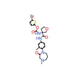 Cc1cc(NC(=O)C2(NC(=O)Oc3ccc(Br)s3)CCOC2)ccc1N1CCCN(C)CC1=O